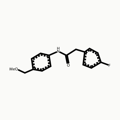 COCc1ccc(NC(=O)Cc2ccc(F)cc2)cc1